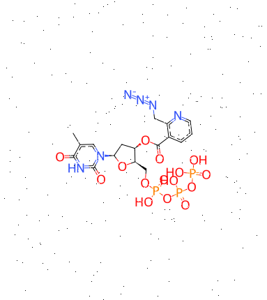 Cc1cn([C@H]2C[C@@H](OC(=O)c3cccnc3CN=[N+]=[N-])[C@@H](COP(=O)(O)OP(=O)(O)OP(=O)(O)O)O2)c(=O)[nH]c1=O